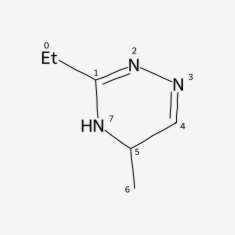 CCC1=NN=CC(C)N1